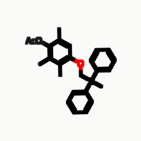 CC(=O)Oc1c(C)cc(OC[Si](C)(c2ccccc2)c2ccccc2)c(C)c1C